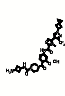 Cl.Cn1c(-c2cn(C3CC4(CC4)C3)nc2C(F)(F)F)cnc1C(=O)Nc1ccc(C(=O)N2CCN(C(=O)NC3CC(N)C3)CC2)c(Cl)c1